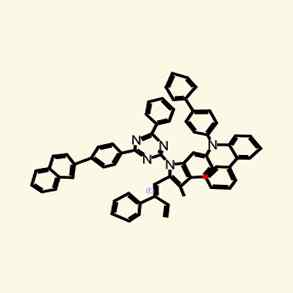 C=C/C(=C\c1c(C)c2ccc(N(c3ccc(-c4ccccc4)cc3)c3ccccc3-c3ccccc3)cc2n1-c1nc(-c2ccccc2)nc(-c2ccc(-c3ccc4ccccc4c3)cc2)n1)c1ccccc1